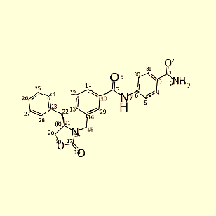 NC(=O)c1ccc(NC(=O)c2cccc(CN3C(=O)OC[C@H]3Cc3ccccc3)c2)cc1